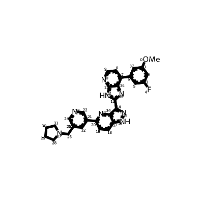 COc1cc(F)cc(-c2ccnc3[nH]c(-c4n[nH]c5ccc(-c6cncc(CN7CCCC7)c6)nc45)nc23)c1